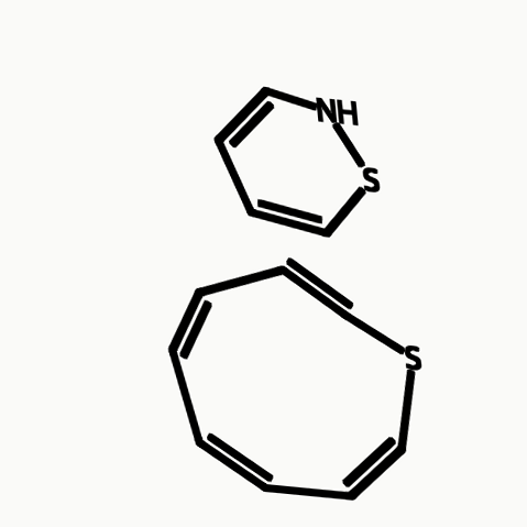 C1=CNSC=C1.c1ccccsccc1